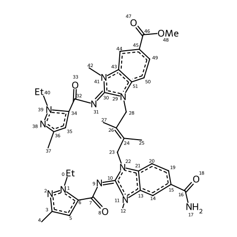 CCn1nc(C)cc1C(=O)/N=c1\n(C)c2cc(C(N)=O)ccc2n1C/C(C)=C(\C)Cn1/c(=N/C(=O)c2cc(C)nn2CC)n(C)c2cc(C(=O)OC)ccc21